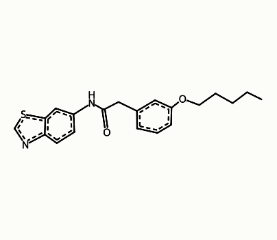 CCCCCOc1cccc(CC(=O)Nc2ccc3ncsc3c2)c1